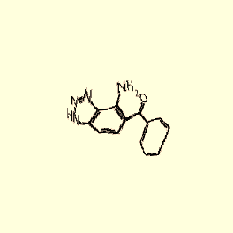 Nc1c(C(=O)c2ccccc2)ccc2[nH]nnc12